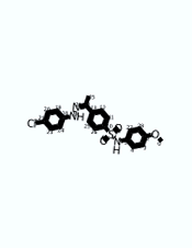 COc1ccc(NS(=O)(=O)c2ccc(/C(C)=N\Nc3ccc(Cl)cc3)cc2)cc1